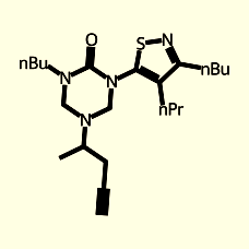 C#CCC(C)N1CN(CCCC)C(=O)N(c2snc(CCCC)c2CCC)C1